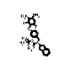 CC(C)(C)OC(=O)N(Cc1ccc(Oc2c(F)cc(N)c(N)c2F)cc1)C1Cc2ccccc2C1